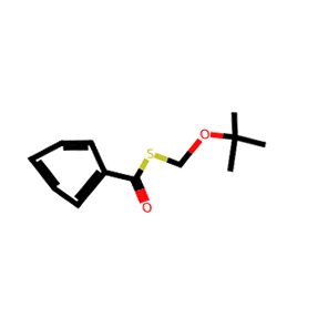 CC(C)(C)OCSC(=O)c1ccccc1